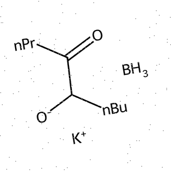 B.CCCCC([O-])C(=O)CCC.[K+]